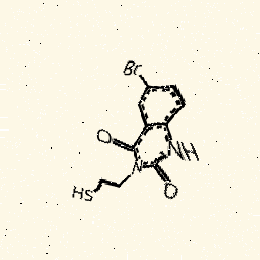 O=c1[nH]c2ccc(Br)cc2c(=O)n1CCS